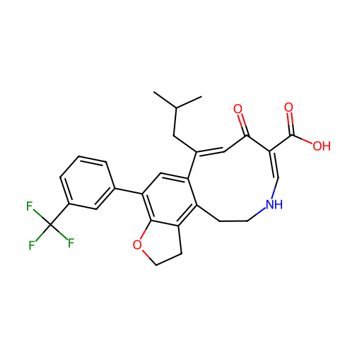 CC(C)C/C1=C\C(=O)/C(C(=O)O)=C\NCCc2c1cc(-c1cccc(C(F)(F)F)c1)c1c2CCO1